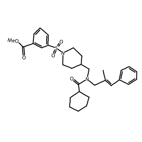 COC(=O)c1cccc(S(=O)(=O)N2CCC(CN(C/C(C)=C/c3ccccc3)C(=O)C3CCCCC3)CC2)c1